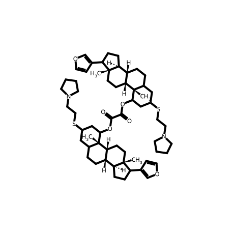 C[C@]12C(CC[C@@H]3[C@H]1CC[C@]1(C)C(c4ccoc4)CC[C@@H]31)CC(SCCN1CCCC1)CC2OC(=O)C(=O)OC1CC(SCCN2CCCC2)CC2CC[C@@H]3[C@@H](CC[C@]4(C)C(c5ccoc5)CC[C@@H]34)[C@]21C